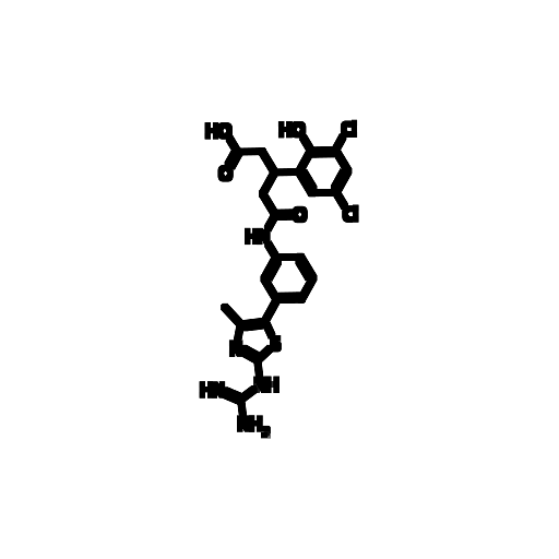 Cc1nc(NC(=N)N)sc1-c1cccc(NC(=O)CC(CC(=O)O)c2cc(Cl)cc(Cl)c2O)c1